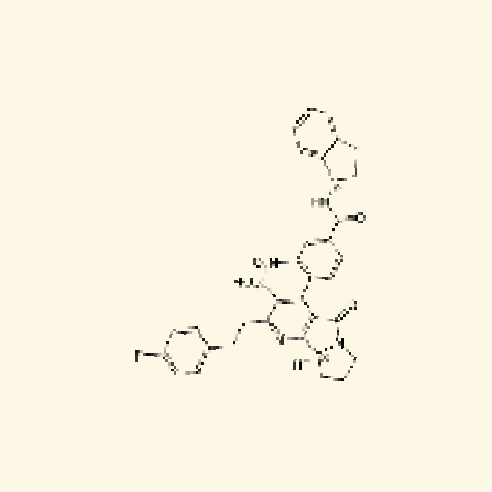 O=C(N[C@H]1CCc2ccccc21)c1ccc(-c2c(C(=O)O)c(CCc3ccc(F)cc3)nc3c2C(=O)N2CCC[C@@H]32)c([N+](=O)[O-])c1